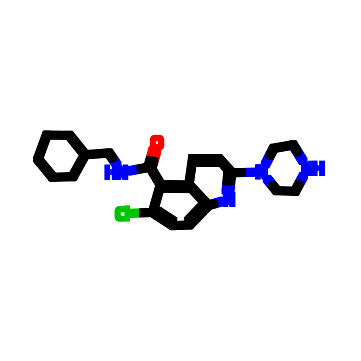 O=C(NCC1CCCCC1)c1c(Cl)ccc2nc(N3CCNCC3)ccc12